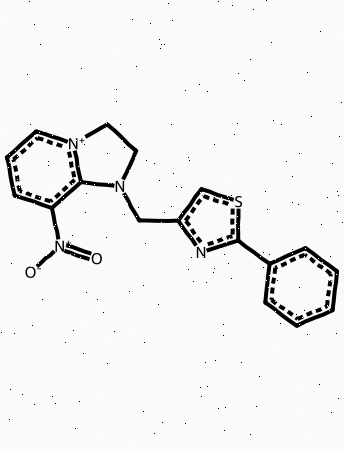 O=[N+]([O-])c1ccc[n+]2c1N(Cc1csc(-c3ccccc3)n1)CC2